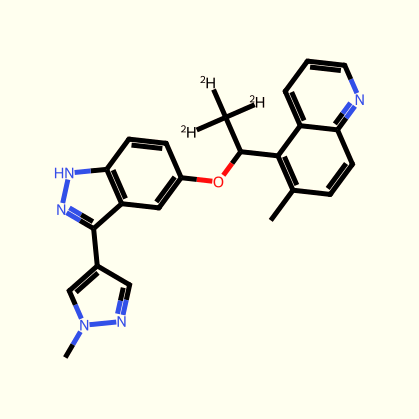 [2H]C([2H])([2H])C(Oc1ccc2[nH]nc(-c3cnn(C)c3)c2c1)c1c(C)ccc2ncccc12